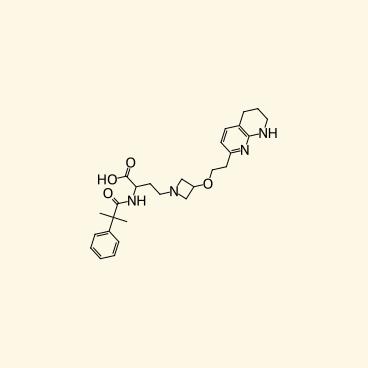 CC(C)(C(=O)NC(CCN1CC(OCCc2ccc3c(n2)NCCC3)C1)C(=O)O)c1ccccc1